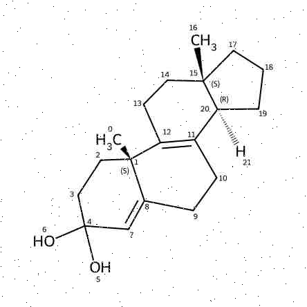 C[C@]12CCC(O)(O)C=C1CCC1=C2CC[C@]2(C)CCC[C@@H]12